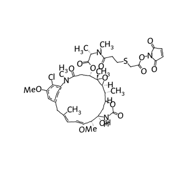 COc1cc2cc(c1Cl)N(C)C(=O)C[C@H](OC(=O)[C@H](C)N(C)C(=O)CCSCC(=O)ON1C(=O)C=CC1=O)[C@]1(C)O[C@H]1[C@H](C)[C@@H]1C[C@@](O)(NC(=O)O1)[C@H](OC)/C=C/C=C(\C)C2